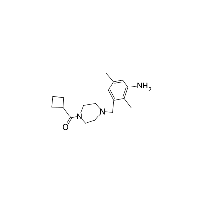 Cc1cc(N)c(C)c(CN2CCN(C(=O)C3CCC3)CC2)c1